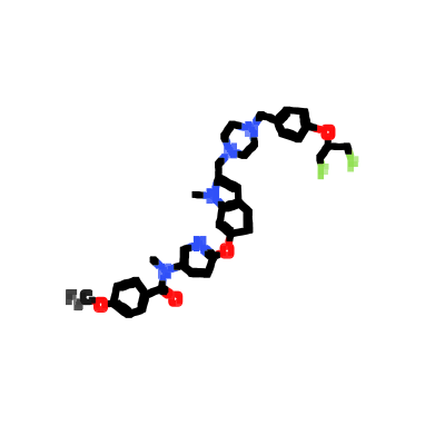 CN(C(=O)c1ccc(OC(F)(F)F)cc1)c1ccc(Oc2ccc3cc(CN4CCN(Cc5ccc(OC(CF)CF)cc5)CC4)n(C)c3c2)nc1